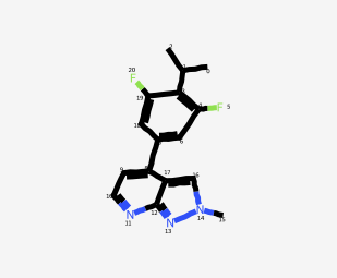 CC(C)c1c(F)cc(-c2ccnc3nn(C)cc23)cc1F